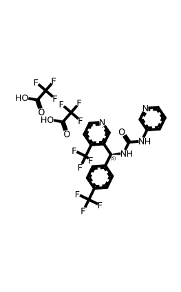 O=C(Nc1cccnc1)N[C@@H](c1ccc(C(F)(F)F)cc1)c1cnccc1C(F)(F)F.O=C(O)C(F)(F)F.O=C(O)C(F)(F)F